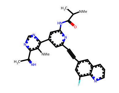 CNc1c(C(C)=N)ncnc1-c1cc(C#Cc2cc(F)c3ncccc3c2)nc(NC(=O)C(C)NC)c1